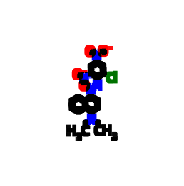 CCN(CC)c1ccc(/N=N/c2c(Cl)cc([N+](=O)[O-])cc2[N+](=O)[O-])c2ccccc12